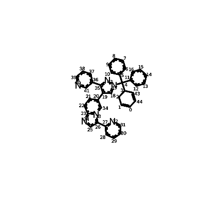 C1=CCC(C(c2ccccc2)(c2ccccc2)n2cc(-c3ccc4ncc(-c5ccccn5)n4c3)c(-c3cccnc3)n2)C=C1